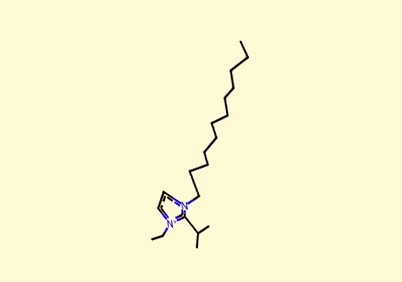 CCCCCCCCCCCCn1cc[n+](CC)c1C(C)C